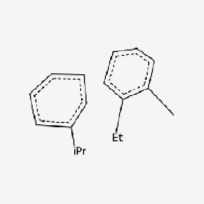 CC(C)c1ccccc1.CCc1ccccc1C